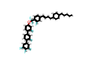 CCCCCC1CCC(CC/C=C/c2ccc(C(F)(F)Oc3ccc(-c4ccc(-c5cc(F)c(F)c(F)c5)c(F)c4)c(F)c3)c(F)c2)CC1